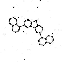 c1ccc2c(-c3ccc4c(c3)-c3cc(-c5cccc6ccccc56)ccc3[N]4)cccc2c1